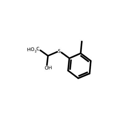 Cc1ccccc1SC(O)C(=O)O